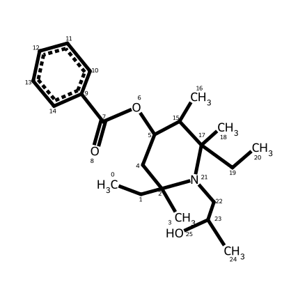 CCC1(C)CC(OC(=O)c2ccccc2)C(C)C(C)(CC)N1CC(C)O